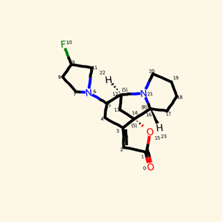 O=C1C=C2CC(N3CCC(F)C3)[C@@H]3C[C@@]2(O1)[C@H]1CCCCN31